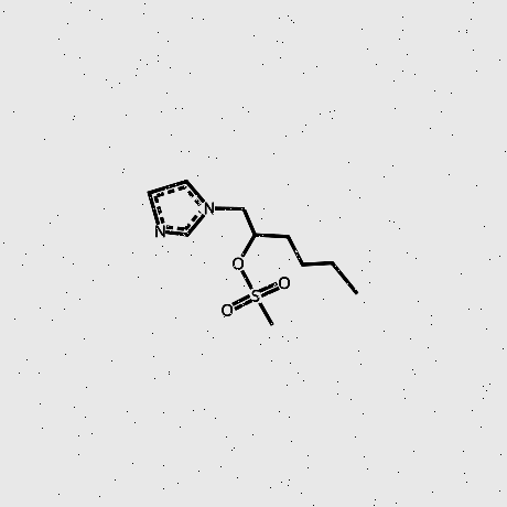 CCCCC(Cn1ccnc1)OS(C)(=O)=O